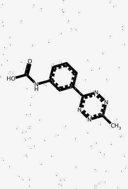 Cc1nnc(-c2cccc(NC(=O)O)c2)nn1